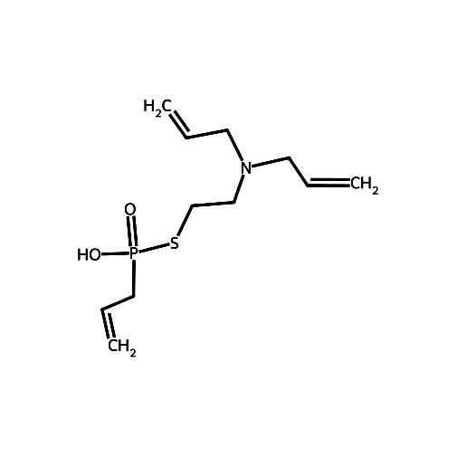 C=CCN(CC=C)CCSP(=O)(O)CC=C